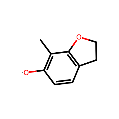 Cc1c([O])ccc2c1OCC2